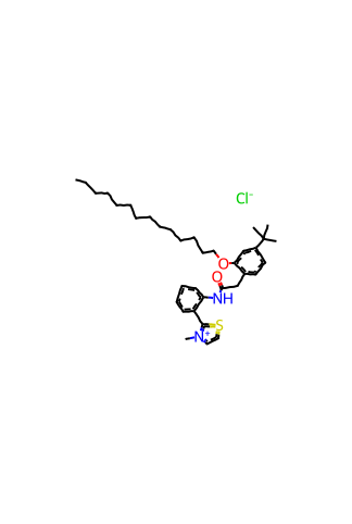 CCCCCCCCCCCCCCOc1cc(C(C)(C)C)ccc1CC(=O)Nc1ccccc1-c1scc[n+]1C.[Cl-]